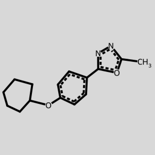 Cc1nnc(-c2ccc(OC3CCCCC3)cc2)o1